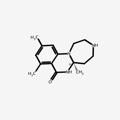 Cc1cc(C)c2c(c1)N1CCNCC[C@@]1(C)NC2=O